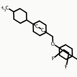 CC1CCC(C23CCC(COC45CCC(C)(CC4)C(F)=C5F)(CC2)CC3)CC1